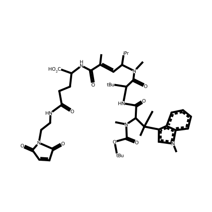 C/C(=C\C(C(C)C)N(C)C(=O)C(NC(=O)C(N(C)C(=O)OC(C)(C)C)C(C)(C)c1cn(C)c2ccccc12)C(C)(C)C)C(=O)NC(CCC(=O)NCCN1C(=O)C=CC1=O)C(=O)O